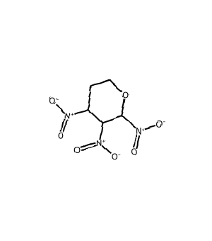 O=[N+]([O-])C1CCOC([N+](=O)[O-])C1[N+](=O)[O-]